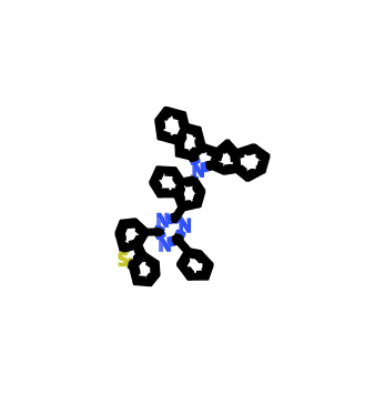 c1ccc(-c2nc(-c3ccc(-n4c5cc6ccccc6cc5c5cc6ccccc6cc54)c4ccccc34)nc(-c3cccc4sc5ccccc5c34)n2)cc1